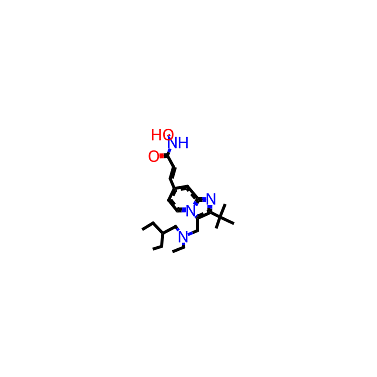 CCC(CC)CN(CC)Cc1c(C(C)(C)C)nc2cc(C=CC(=O)NO)ccn12